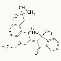 CCOC/C(C(=O)c1ccccc1CC(C)(C)C)=C1\C(=O)c2ccccc2[C@@]1(C)O